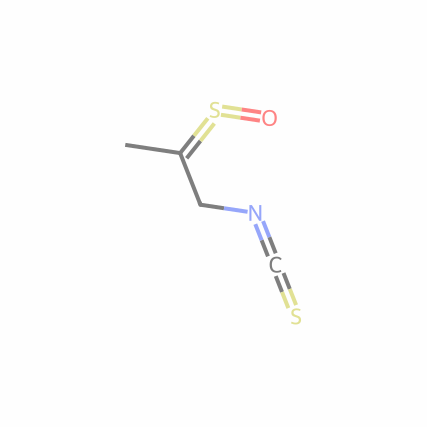 CC(CN=C=S)=S=O